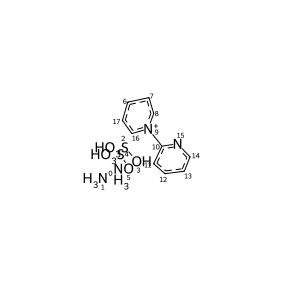 N.N.O=S(=O)(O)O.O=S(=O)([O-])O.c1cc[n+](-c2ccccn2)cc1